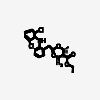 CCOC(=O)[C@@H](N)[C@@H](C)OC(=O)Cc1ccccc1Nc1c(Cl)cccc1Cl